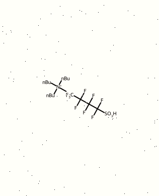 CCCC[N+](C)(CCCC)CCCC.O=S(=O)(O)C(F)(F)C(F)(F)C(F)(F)C(F)(F)F